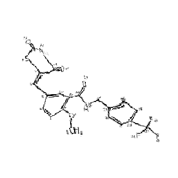 COc1ccc(/C=C2/SC(=O)NC2=O)cc1C(=O)NCc1ccc(C(F)(F)F)cc1